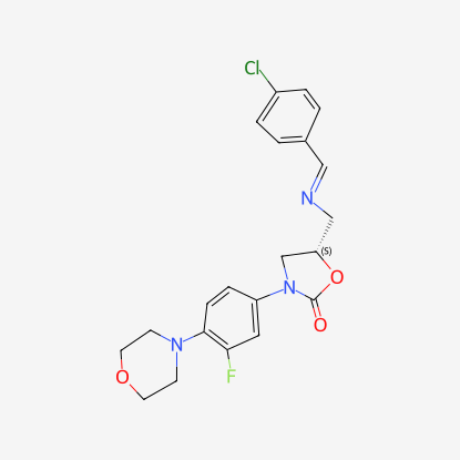 O=C1O[C@@H](CN=Cc2ccc(Cl)cc2)CN1c1ccc(N2CCOCC2)c(F)c1